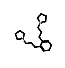 C1=C(CCCN2CCCC2)C(CCCN2CCCC2)=CCC1